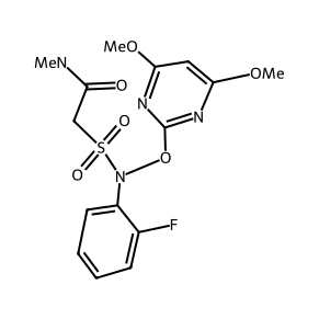 CNC(=O)CS(=O)(=O)N(Oc1nc(OC)cc(OC)n1)c1ccccc1F